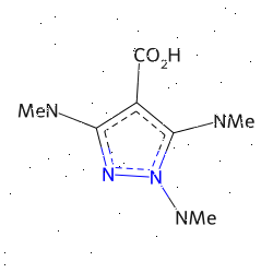 CNc1nn(NC)c(NC)c1C(=O)O